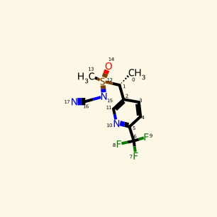 C[C@H](c1ccc(C(F)(F)F)nc1)S(C)(=O)=NC#N